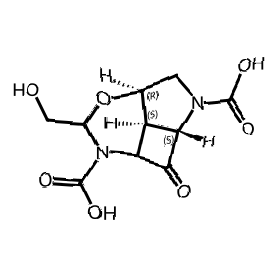 O=C1C2[C@H]3[C@H](CN(C(=O)O)[C@H]13)OC(CO)N2C(=O)O